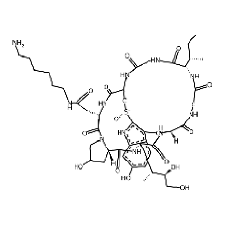 CC[C@H](C)[C@@H]1NC(=O)CNC(=O)[C@H]2Cc3c([nH]c4cc(O)ccc34)[S@+]([O-])CC(NC(=O)CNC1=O)C(=O)N[C@@H](CC(=O)NCCCCCCN)C(=O)N1CC(O)C[C@H]1C(=O)N[C@@H]([C@@H](C)[C@@H](O)CO)C(=O)N2